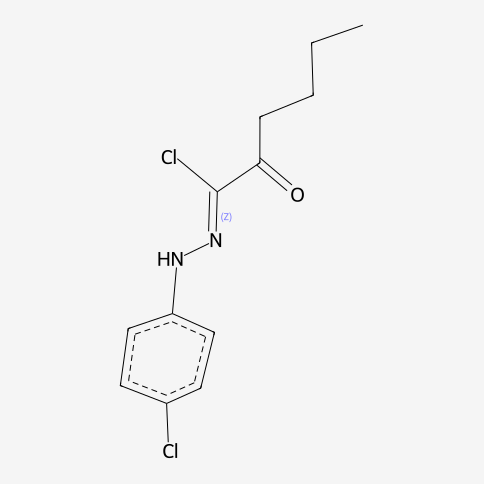 CCCCC(=O)/C(Cl)=N/Nc1ccc(Cl)cc1